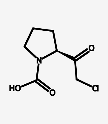 O=C(CCl)[C@@H]1CCCN1C(=O)O